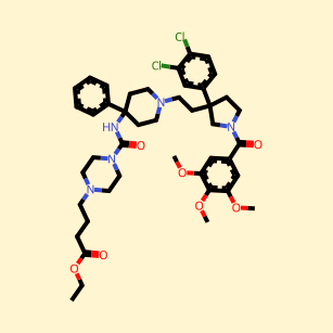 CCOC(=O)CCCN1CCN(C(=O)NC2(c3ccccc3)CCN(CCC3(c4ccc(Cl)c(Cl)c4)CCN(C(=O)c4cc(OC)c(OC)c(OC)c4)C3)CC2)CC1